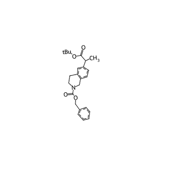 CC(C(=O)OC(C)(C)C)c1ccc2c(c1)CCN(C(=O)OCc1ccccc1)C2